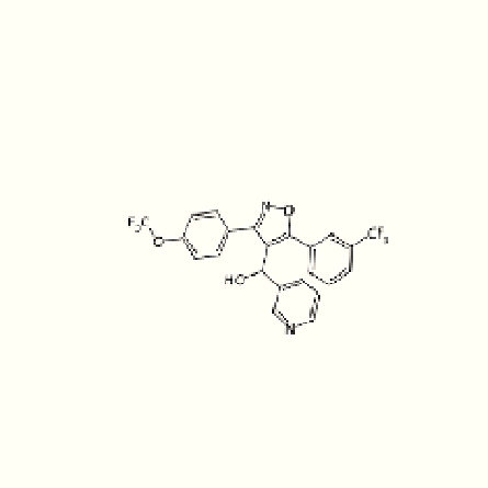 OC(c1cccnc1)c1c(-c2ccc(OC(F)(F)F)cc2)noc1-c1cccc(C(F)(F)F)c1